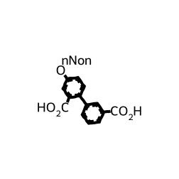 CCCCCCCCCOc1ccc(-c2cccc(C(=O)O)c2)c(C(=O)O)c1